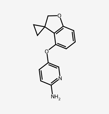 Nc1ccc(Oc2cccc3c2C2(CC2)CO3)cn1